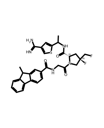 CC(NC(=O)[C@@H]1C[C@](F)(CF)CN1C(=O)CNC(=O)c1ccc2c(c1)C(C)c1ccccc1-2)c1cc(C(=N)N)cs1